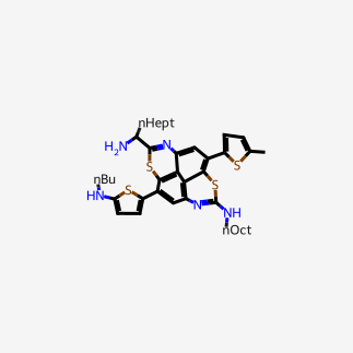 CCCCCCCCNC1=Nc2cc(-c3ccc(NCCCC)s3)c3c4c(cc(-c5ccc(C)s5)c(c24)S1)N=C(C(N)CCCCCCC)S3